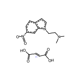 CN(C)CCn1ccc2ccc([N+](=O)[O-])cc21.O=C(O)/C=C/C(=O)O